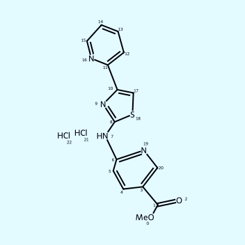 COC(=O)c1ccc(Nc2nc(-c3ccccn3)cs2)nc1.Cl.Cl